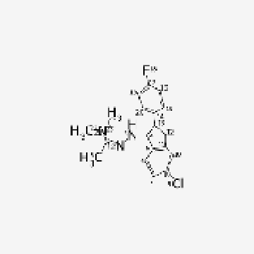 CC(=NNC1c2ccc(Cl)cc2CC1c1ccc(F)cc1)N(C)C